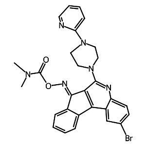 CN(C)C(=O)O/N=C1\c2ccccc2-c2c1c(N1CCN(c3ccccn3)CC1)nc1ccc(Br)cc21